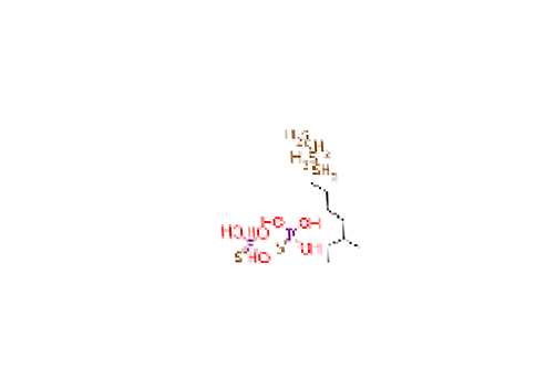 CCCCC(C)CC.OP(O)(O)=S.OP(O)(O)=S.S.S.S.S